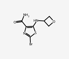 NC(=O)c1nc(Br)sc1NC1COC1